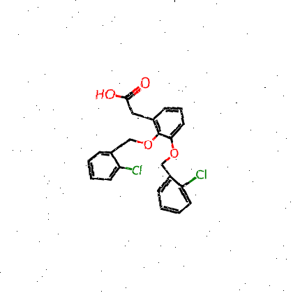 O=C(O)Cc1cccc(OCc2ccccc2Cl)c1OCc1ccccc1Cl